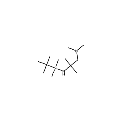 CN(C)CC(C)(C)N[Si](C)(C)C(C)(C)C